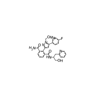 COCn1nc(-c2c(C(N)=O)cccc2C(=O)NC(CO)Cc2ccccn2)cc1-c1ccc(F)cc1